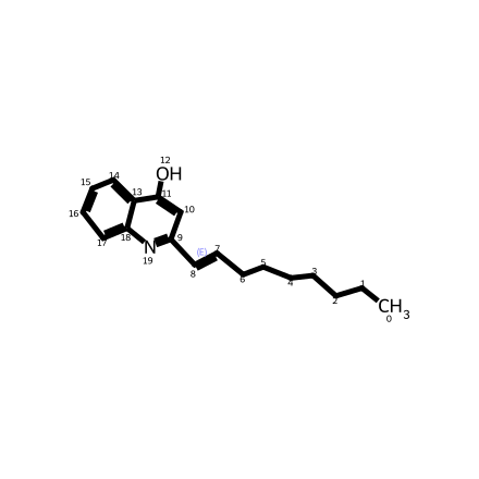 CCCCCCC/C=C/c1cc(O)c2ccccc2n1